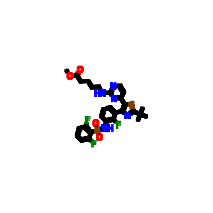 COC(=O)CCCCNc1nccc(-c2sc(C(C)(C)C)nc2-c2cccc(NS(=O)(=O)c3c(F)cccc3F)c2F)n1